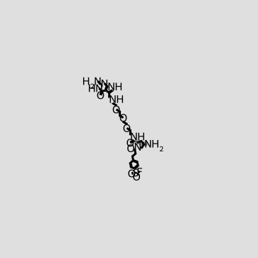 Nc1nc2[nH]cc(CNCCOCCOCCOCCNC(=O)[C@@H]3C[C@H](N)CN3C(=O)CCc3ccc(S(=O)(=O)F)cc3)c2c(=O)[nH]1